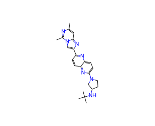 Cc1cc2nc(-c3ccc4nc(N5CCC(NC(C)(C)C)C5)ccc4n3)cn2c(C)n1